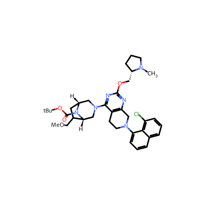 COCC1C[C@@H]2CN(c3nc(OC[C@@H]4CCCN4C)nc4c3CCN(c3cccc5cccc(Cl)c35)C4)C[C@H]1N2C(=O)OC(C)(C)C